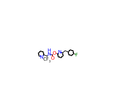 O=C(N[C@H](c1ccccn1)C(F)(F)F)Oc1cccc(Cc2ccc(F)cc2)n1